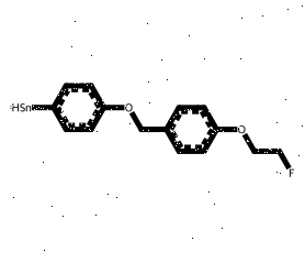 FCCOc1ccc(COc2cc[c]([SnH])cc2)cc1